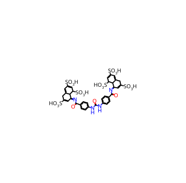 O=C(Nc1ccc(C(=O)N=C2C=C(S(=O)(=O)O)CC3=CC(S(=O)(=O)O)=CC(S(=O)(=O)O)C32)cc1)Nc1ccc(C(=O)N=C2C=C(S(=O)(=O)O)CC3=CC(S(=O)(=O)O)=CC(S(=O)(=O)O)C32)cc1